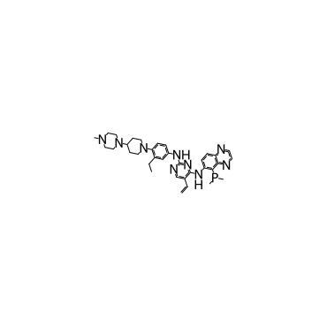 C=Cc1cnc(Nc2ccc(N3CCC(N4CCN(C)CC4)CC3)c(CC)c2)nc1Nc1ccc2nccnc2c1P(C)C